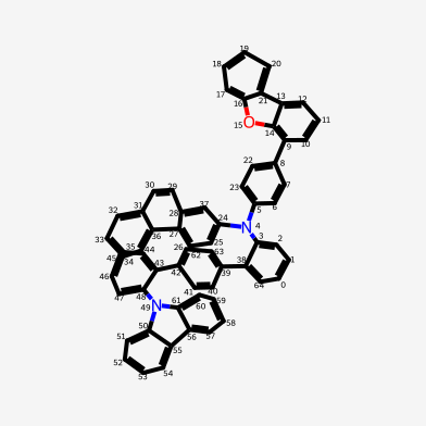 c1ccc(N(c2ccc(-c3cccc4c3oc3ccccc34)cc2)c2ccc3c(ccc4ccccc43)c2)c(-c2ccc(-c3ccccc3-n3c4ccccc4c4ccccc43)cc2)c1